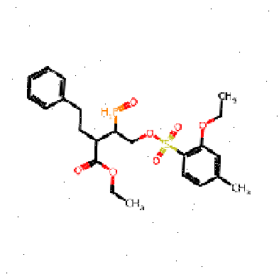 CCOC(=O)C(CCc1ccccc1)C(COS(=O)(=O)c1ccc(C)cc1OCC)[PH2]=O